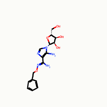 NC(=NOCc1ccccc1)c1ncn([C@@H]2O[C@H](CO)[C@@H](O)[C@H]2O)c1N